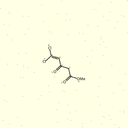 COC(=O)CC(=O)C=C(Cl)Cl